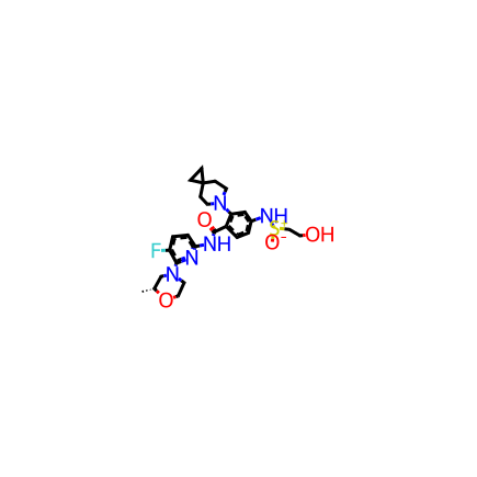 C[C@@H]1CN(c2nc(NC(=O)c3ccc(N[S+]([O-])CCO)cc3N3CCC4(CC3)CC4)ccc2F)CCO1